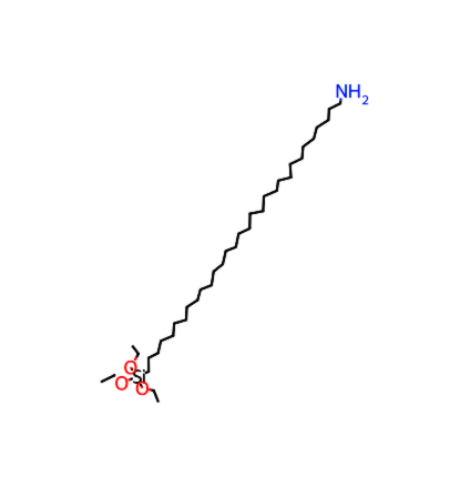 CCO[Si](CCCCCCCCCCCCCCCCCCCCCCCCCCCCCCCN)(OCC)OCC